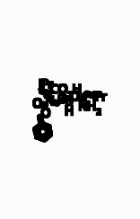 CC(C)C[C@H](N)OBOCN(C(=O)OCc1ccccc1)[C@@H](CC(C)C)C(=O)O